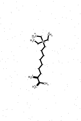 C=C(C)C(=C)CCCCCCCS(CC)(CC)CC